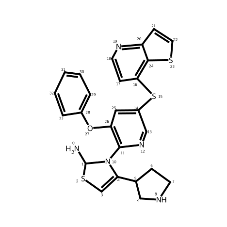 NC1SC=C(C2CCNC2)N1c1ncc(Sc2ccnc3ccsc23)cc1Oc1ccccc1